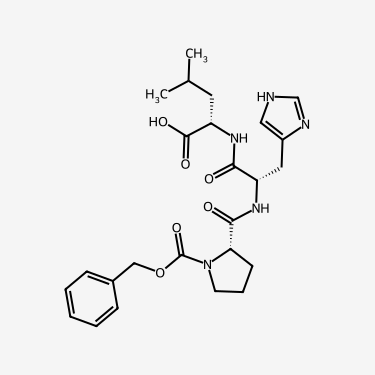 CC(C)C[C@H](NC(=O)[C@H](Cc1c[nH]cn1)NC(=O)[C@@H]1CCCN1C(=O)OCc1ccccc1)C(=O)O